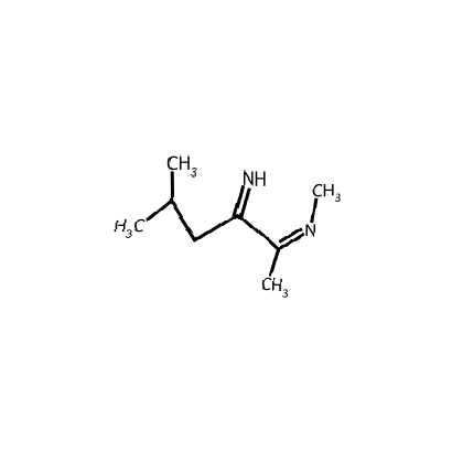 CN=C(C)C(=N)CC(C)C